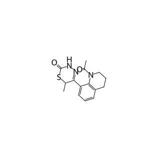 CC(=O)N1CCCc2cccc(C3=NNC(=O)SC3C)c21